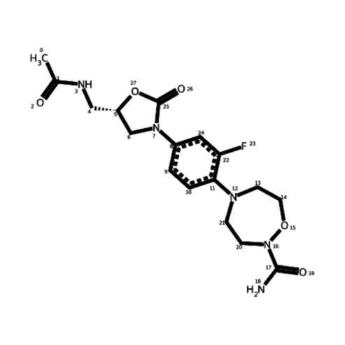 CC(=O)NC[C@H]1CN(c2ccc(N3CCON(C(N)=O)CC3)c(F)c2)C(=O)O1